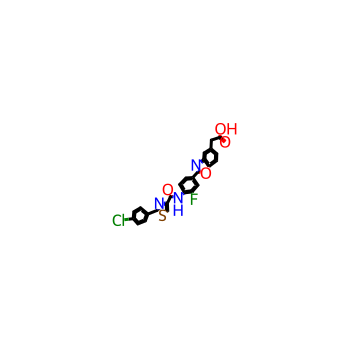 O=C(O)Cc1ccc2oc(-c3ccc(NC(=O)c4csc(-c5ccc(Cl)cc5)n4)c(F)c3)nc2c1